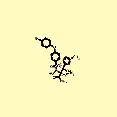 CS[C@@](C(N)=O)(N(O)S(=O)(=O)c1ccc(Oc2ccc(Br)cc2)cc1)C(C)(C)c1cn(C)cn1